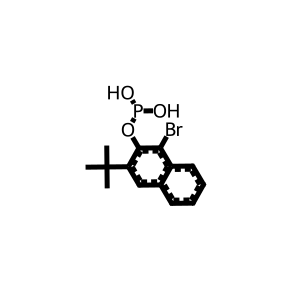 CC(C)(C)c1cc2ccccc2c(Br)c1OP(O)O